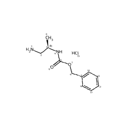 C[C@H](CN)NC(=O)OCc1ccccc1.Cl